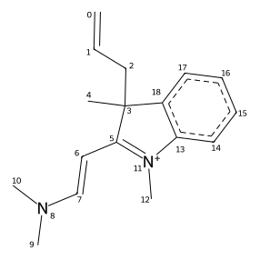 C=CCC1(C)C(/C=C/N(C)C)=[N+](C)c2ccccc21